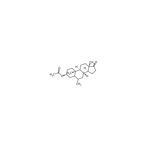 CC(=O)O[C@H]1CC[C@@]2(C)C(C1)C(C)C[C@@H]1[C@@H]2CC[C@]2(C)C(=O)CC[C@@H]12